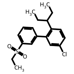 CCC(CC)c1ccc(Cl)cc1-c1cccc(S(=O)(=O)CC)c1